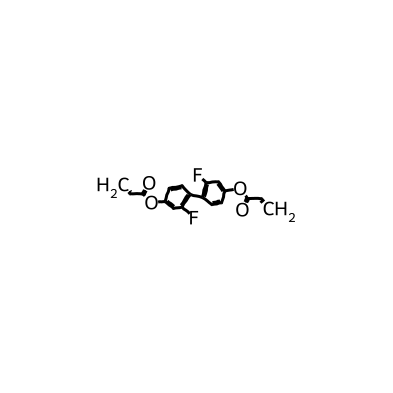 C=CC(=O)Oc1ccc(-c2ccc(OC(=O)C=C)cc2F)c(F)c1